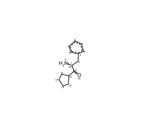 N[C@@H](Cc1ccccc1)C(=O)[C]1CCCC1